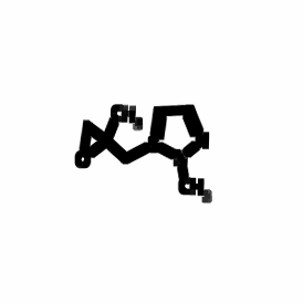 CN1N=CC=S1CC1(C)CO1